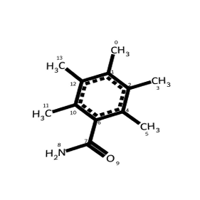 Cc1c(C)c(C)c(C(N)=O)c(C)c1C